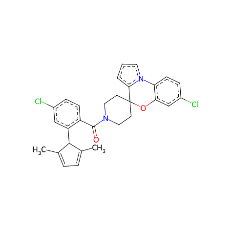 CC1=CC=C(C)C1c1cc(Cl)ccc1C(=O)N1CCC2(CC1)Oc1cc(Cl)ccc1-n1cccc12